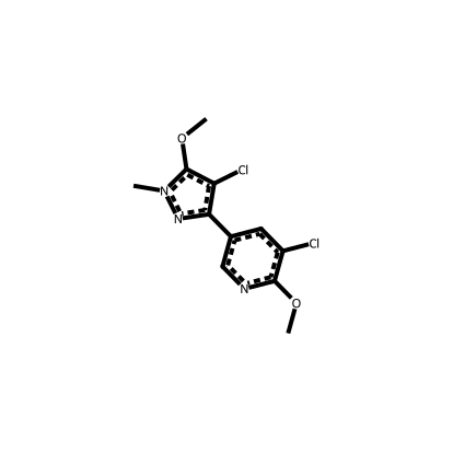 COc1ncc(-c2nn(C)c(OC)c2Cl)cc1Cl